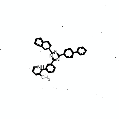 CC1=CC=CNC1c1cccc(-c2nc(-c3ccc(-c4ccccc4)cc3)nc(C3C=Cc4ccccc4C3)n2)c1